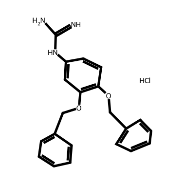 Cl.N=C(N)Nc1ccc(OCc2ccccc2)c(OCc2ccccc2)c1